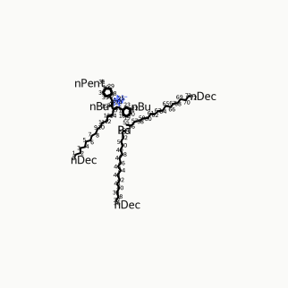 CCCCCCCCCCCCCCCCCCCCCCC=CC1=C(c2cccc(CCCC)c2)[N+](=[N-])C(c2ccc(CCCCC)cc2)=C1CCCC.CCCCCCCCCCCCCCCCCCCCCCCCCC[CH2][Pd][CH2]CCCCCCCCCCCCCCCCCCCCCCCCCC